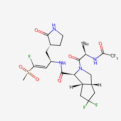 CC(C)(C)[C@@H](NC(=O)C(F)(F)F)C(=O)N1C[C@@H]2CC(F)(F)C[C@@H]2[C@H]1C(=O)N[C@@H](/C=C(\F)S(C)(=O)=O)C[C@H]1CCNC1=O